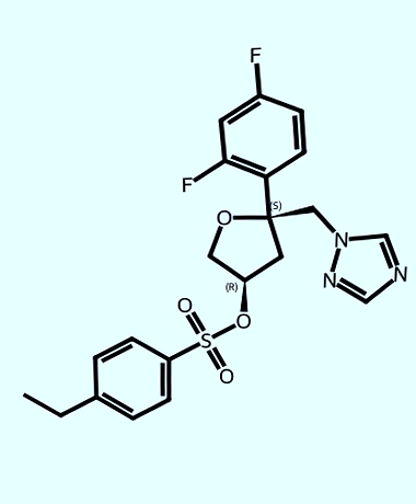 CCc1ccc(S(=O)(=O)O[C@H]2CO[C@](Cn3cncn3)(c3ccc(F)cc3F)C2)cc1